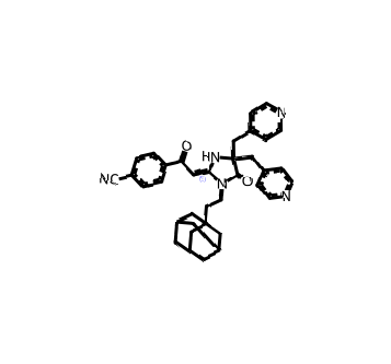 N#Cc1ccc(C(=O)/C=C2\NC(Cc3ccncc3)(Cc3ccncc3)C(=O)N2CCC23CC4CC(CC(C4)C2)C3)cc1